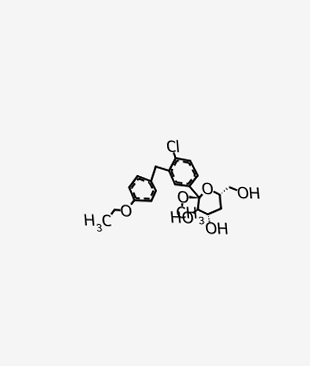 CCOc1ccc(Cc2cc([C@]3(OC)O[C@H](CO)C[C@H](O)[C@H]3O)ccc2Cl)cc1